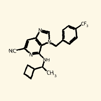 CC(Nc1nc(C#N)cc2ncn(Cc3ccc(C(F)(F)F)cc3)c12)C1CCC1